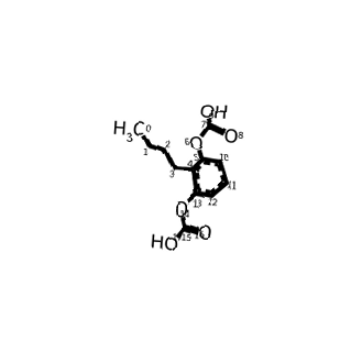 CCCCc1c(OC(=O)O)cccc1OC(=O)O